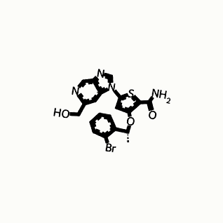 C[C@@H](Oc1cc(-n2cnc3cnc(CO)cc32)sc1C(N)=O)c1ccccc1Br